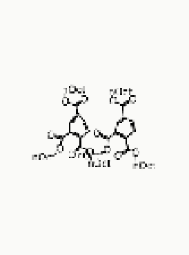 CCCCCCCCOC(=O)c1ccc(C(=O)OCCCCCCCC)c(C(=O)OCCCCCCCC)c1.CCCCCCCCOC(=O)c1ccc(C(=O)OCCCCCCCC)c(C(=O)OCCCCCCCC)c1